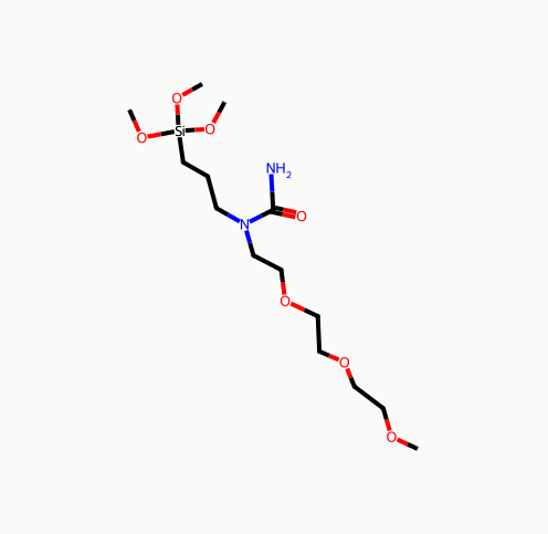 COCCOCCOCCN(CCC[Si](OC)(OC)OC)C(N)=O